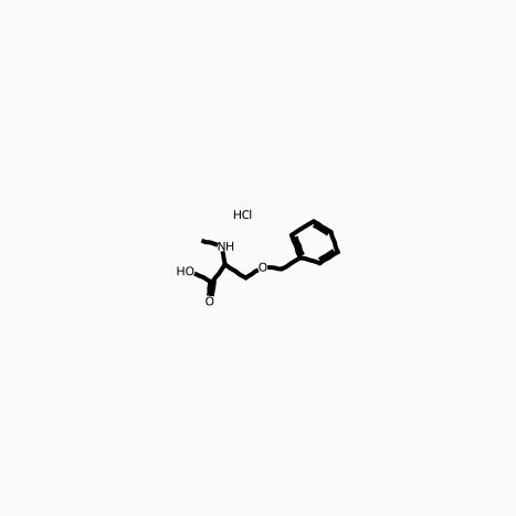 CNC(COCc1ccccc1)C(=O)O.Cl